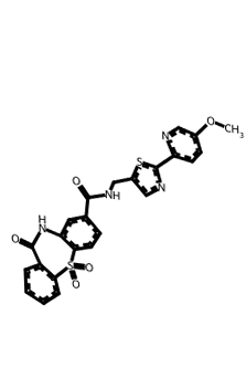 COc1ccc(-c2ncc(CNC(=O)c3ccc4c(c3)NC(=O)c3ccccc3S4(=O)=O)s2)nc1